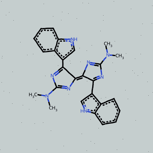 CN(C)C1=N/C(=C2/N=C(N(C)C)N=C2c2c[nH]c3ccccc23)C(c2c[nH]c3ccccc23)=N1